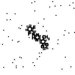 Cc1cc2c(cc1-c1cnc(NCc3c(F)cccc3F)cn1)OCCO2